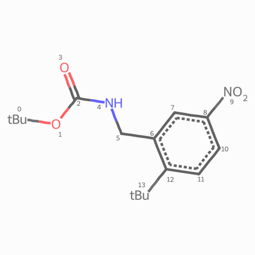 CC(C)(C)OC(=O)NCc1cc([N+](=O)[O-])ccc1C(C)(C)C